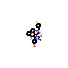 CNC(=O)N1C(C(=O)NCc2ccc(F)cc2)C(c2ccccc2)C(C(=O)c2ccccc2)C1c1ccc(OC)cc1